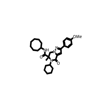 COc1ccc(-c2cc3n(n2)CC(C)(C(=O)NC2CCCCCCC2)N(C2CCCCC2)C3=O)cc1